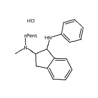 CCCCCN(C)C1Cc2ccccc2C1Nc1ccccc1.Cl